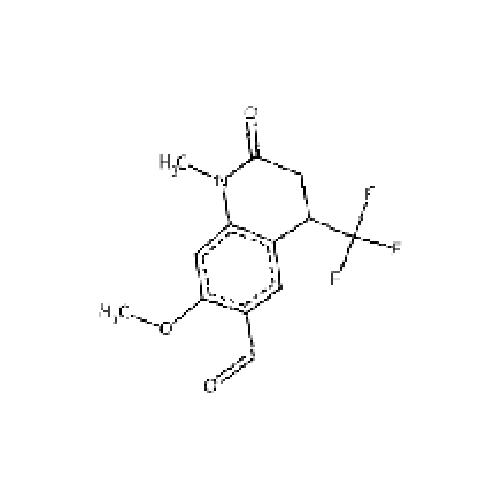 COc1cc2c(cc1C=O)C(C(F)(F)F)CC(=O)N2C